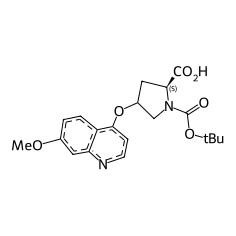 COc1ccc2c(OC3C[C@@H](C(=O)O)N(C(=O)OC(C)(C)C)C3)ccnc2c1